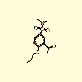 CCCOc1ccc(S(=O)(=O)N(C)C)cc1C(C)=O